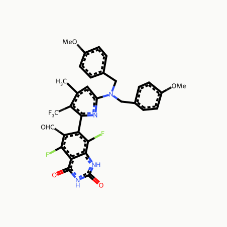 COc1ccc(CN(Cc2ccc(OC)cc2)c2cc(C)c(C(F)(F)F)c(-c3c(C=O)c(F)c4c(=O)[nH]c(=O)[nH]c4c3F)n2)cc1